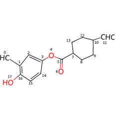 O=Cc1cc(OC(=O)C2CCC(C=O)CC2)ccc1O